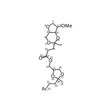 COC1COC2COC(C)(CCC(=O)OCC3COC(C)(CCC(C)=O)O3)OC12